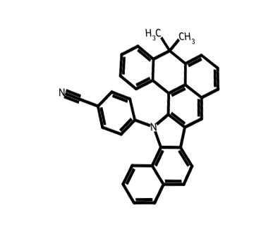 CC1(C)c2ccccc2-c2c3c1cccc3cc1c3ccc4ccccc4c3n(-c3ccc(C#N)cc3)c21